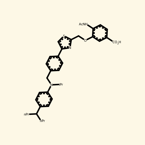 CCCC(CCC)c1ccc(N(Cc2ccc(-c3csc(COc4cc(C(=O)O)ccc4NC(C)=O)n3)cc2)C(C)C)cc1